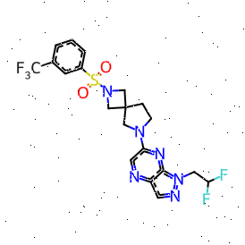 O=S(=O)(c1cccc(C(F)(F)F)c1)N1CC2(CCN(c3cnc4cnn(CC(F)F)c4n3)C2)C1